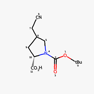 CC(C)(C)OC(=O)N1CC(CC#N)C[C@H]1C(=O)O